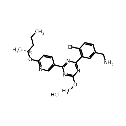 CCC[C@@H](C)Oc1ccc(-c2nc(OC)nc(-c3cc(CN)ccc3Cl)n2)cn1.Cl